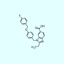 CCc1nc2ccc(C(=O)O)cc2n1Cc1ccc(OCc2ccc(F)cc2)cc1